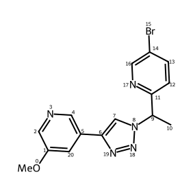 COc1cncc(-c2cn(C(C)c3ccc(Br)cn3)nn2)c1